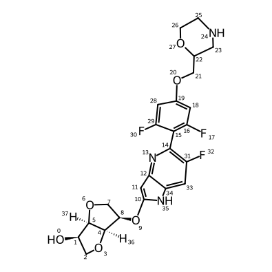 O[C@@H]1CO[C@H]2[C@@H]1OC[C@H]2Oc1cc2nc(-c3c(F)cc(OCC4CNCCO4)cc3F)c(F)cc2[nH]1